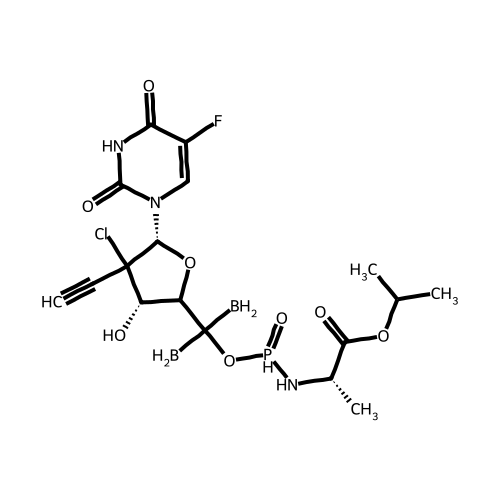 BC(B)(O[PH](=O)N[C@@H](C)C(=O)OC(C)C)C1O[C@@H](n2cc(F)c(=O)[nH]c2=O)C(Cl)(C#C)[C@H]1O